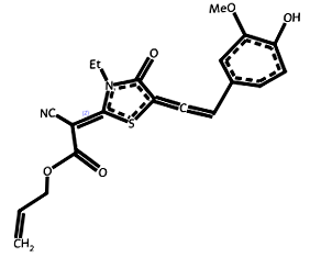 C=CCOC(=O)/C(C#N)=c1\sc(=C=Cc2ccc(O)c(OC)c2)c(=O)n1CC